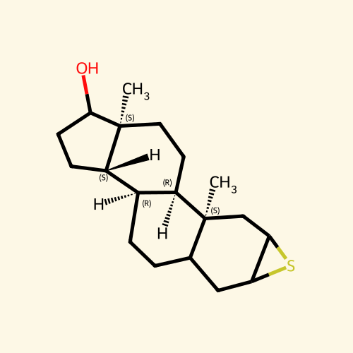 C[C@]12CC3SC3CC1CC[C@@H]1[C@H]2CC[C@]2(C)C(O)CC[C@@H]12